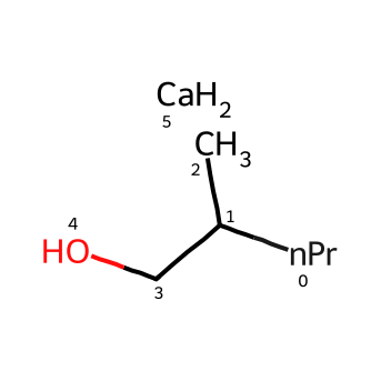 CCCC(C)CO.[CaH2]